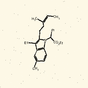 C/C=C(/C)CCc1c(CC)c2cc(C)ccc2n1C(C(=O)OCC)C(C)C